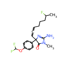 CC(F)CCCC=C=CC1(c2ccc(OC(F)F)cc2)N=C(N)N(C)C1=O